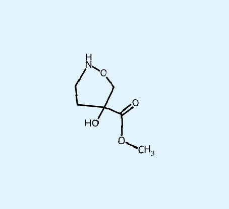 COC(=O)C1(O)CCNOC1